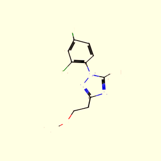 O=C(O)OCCc1nc(C(Cl)(Cl)Cl)n(-c2ccc(Cl)cc2Cl)n1